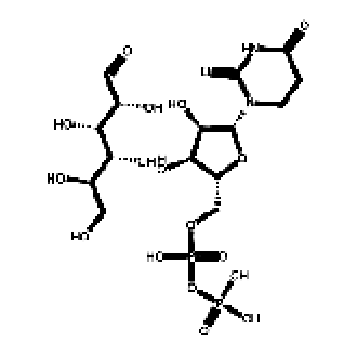 O=C1CCN([C@@H]2O[C@H](COP(=O)(O)OP(=O)(O)O)[C@@H](O)[C@H]2O)C(=O)N1.O=C[C@H](O)[C@@H](O)[C@H](O)[C@H](O)CO